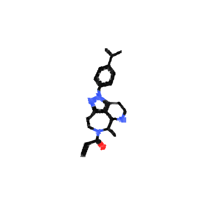 C=CC(=O)N1CCc2nn(-c3ccc(C(C)C)cc3)c3c2C(NCC3)C1C